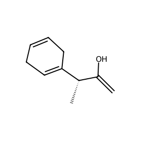 C=C(O)[C@H](C)C1=CCC=CC1